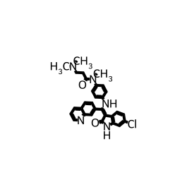 CN(C)CCC(=O)N(C)c1ccc(NC(=C2C(=O)Nc3cc(Cl)ccc32)c2ccc3cccnc3c2)cc1